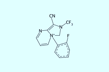 N#CC1=C2N=CC=C[N+]2(c2ccccc2F)CN1C(F)(F)F